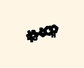 CC1(C)OB(c2cc3c(s2)CN2CCC[C@H]2C3)OC1(C)C